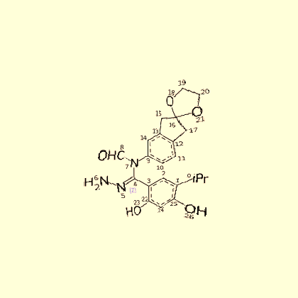 CC(C)c1cc(/C(=N/N)N(C=O)c2ccc3c(c2)CC2(C3)OCCO2)c(O)cc1O